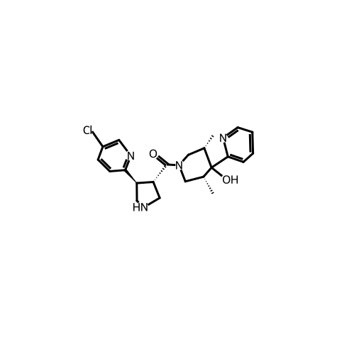 C[C@@H]1CN(C(=O)[C@@H]2CNC[C@H]2c2ccc(Cl)cn2)C[C@H](C)C1(O)c1ccccn1